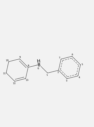 B(Cc1ccccc1)C1=CCCC=C1